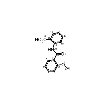 CCOc1ccccc1C(=O)Nc1ccccc1C(=O)O